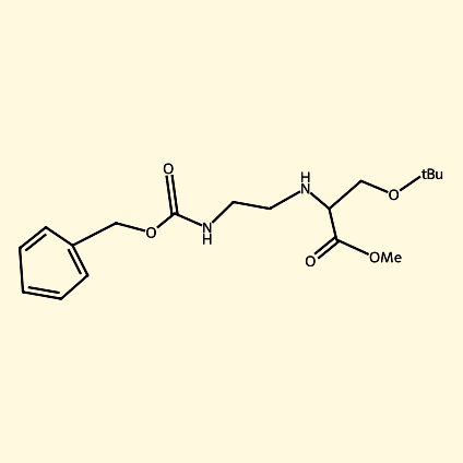 COC(=O)C(COC(C)(C)C)NCCNC(=O)OCc1ccccc1